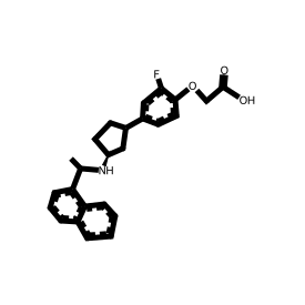 CC(N[C@H]1CCC(c2ccc(OCC(=O)O)c(F)c2)C1)c1cccc2ccccc12